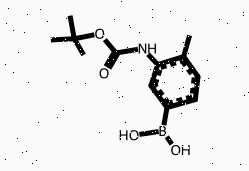 Cc1ccc(B(O)O)cc1NC(=O)OC(C)(C)C